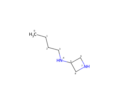 CCCCNC1CNC1